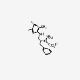 Cc1cc(N)c(NCC(Cc2ccccc2)N(C(=O)O)C(C)(C)C)cc1C